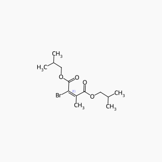 C/C(C(=O)OCC(C)C)=C(\Br)C(=O)OCC(C)C